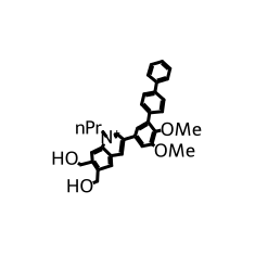 CCC[n+]1cc(-c2cc(OC)c(OC)c(-c3ccc(-c4ccccc4)cc3)c2)cc2cc(CO)c(CO)cc21